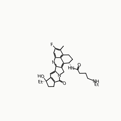 CCNCCCC(=O)N[C@H]1CCc2c(C)c(F)cc3nc4c(c1c23)Cn1c-4cc2c(c1=O)CC[C@]2(O)CC